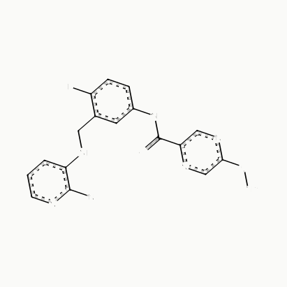 CCCOc1cnc(C(=O)Nc2ccc(F)c(CNc3cccnc3N)c2)cn1